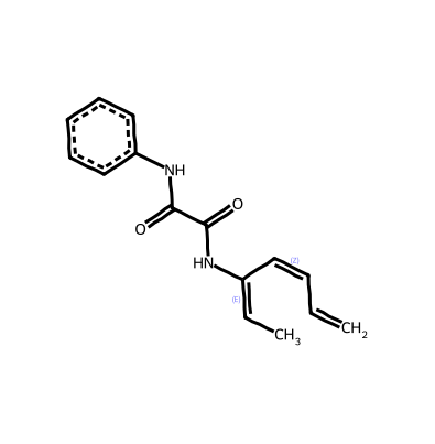 C=C/C=C\C(=C/C)NC(=O)C(=O)Nc1ccccc1